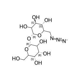 [N-]=[N+]=NCC1O[C@H](O[C@H]2OC(CO)[C@@H](O)[C@@H](O)C2O)C(O)[C@@H](O)[C@@H]1O